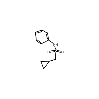 O=S(=O)(CC1CC1)Nc1ccccc1